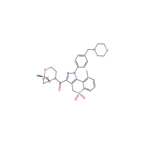 Cc1cccc2c1-c1c(c(C(=O)N3CCO[C@H]4C[C@H]43)nn1-c1ccc(CN3CCOCC3)cc1)CS2(=O)=O